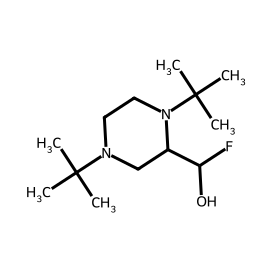 CC(C)(C)N1CCN(C(C)(C)C)C(C(O)F)C1